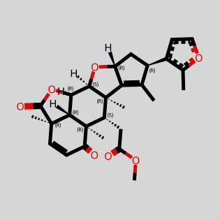 COC(=O)C[C@H]1[C@]2(C)C3=C(C)[C@H](c4ccoc4C)C[C@H]3O[C@@H]2[C@@H]2OC(=O)[C@]3(C)C=CC(=O)[C@@]1(C)[C@@H]23